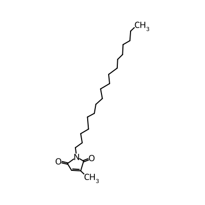 CCCCCCCCCCCCCCCCCCN1C(=O)C=C(C)C1=O